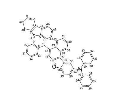 C1=Cc2c(sc3c([C@@H](c4ccccc4)c4cc5oc6ccc(N(c7ccccc7)c7ccccc7)cc6c5c5ccccc45)cccc23)CC1